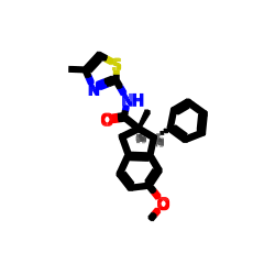 COc1ccc2c(c1)[C@@H](c1ccccc1)[C@@](C)(C(=O)Nc1nc(C)cs1)C2